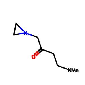 CNCCC(=O)CN1CC1